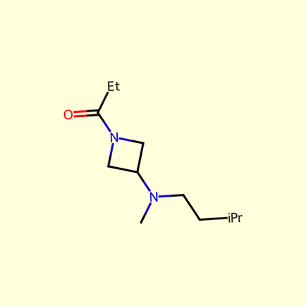 CCC(=O)N1CC(N(C)CCC(C)C)C1